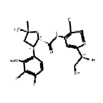 COc1c([C@H]2C[C@@](C)(C(F)(F)F)O[C@@H]2C(=O)Nc2cc([C@@H](O)CO)ncc2F)ccc(F)c1F